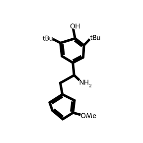 COc1cccc(CC(N)c2cc(C(C)(C)C)c(O)c(C(C)(C)C)c2)c1